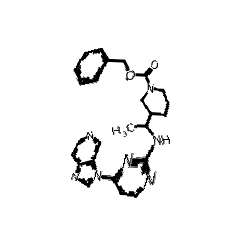 CC(Nc1nccc(-n2cnc3ccncc32)n1)C1CCCN(C(=O)OCc2ccccc2)C1